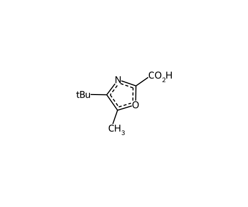 Cc1oc(C(=O)O)nc1C(C)(C)C